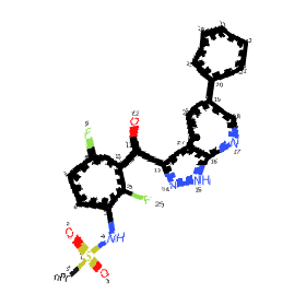 CCCS(=O)(=O)Nc1ccc(F)c(C(=O)c2n[nH]c3ncc(-c4ccccc4)cc23)c1F